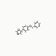 c1ccc(COc2ccc(-c3cnco3)cc2)cc1